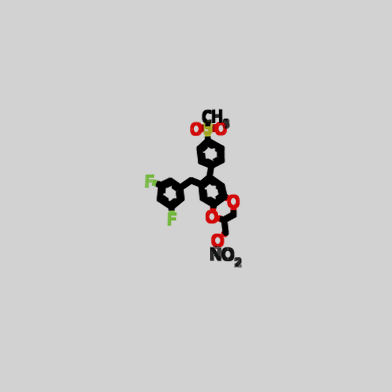 CS(=O)(=O)c1ccc(-c2cc3c(cc2Cc2cc(F)cc(F)c2)OC(CO[N+](=O)[O-])CO3)cc1